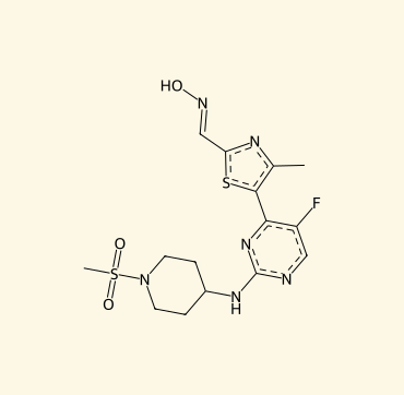 Cc1nc(/C=N/O)sc1-c1nc(NC2CCN(S(C)(=O)=O)CC2)ncc1F